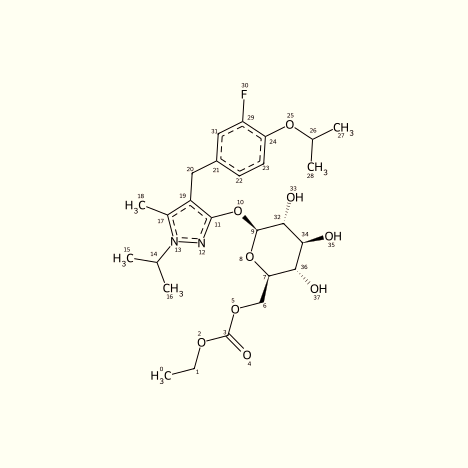 CCOC(=O)OC[C@H]1O[C@@H](Oc2nn(C(C)C)c(C)c2Cc2ccc(OC(C)C)c(F)c2)[C@H](O)[C@@H](O)[C@@H]1O